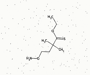 CCOC(=S)C(C)(C)CCON